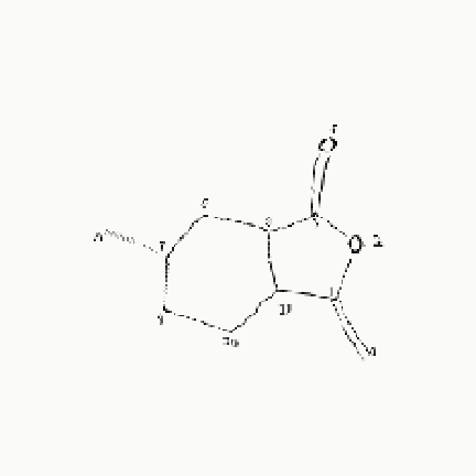 C=C1OC(=O)C2C[C@@H](C)CCC12